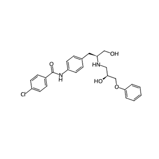 O=C(Nc1ccc(C[C@@H](CO)NC[C@H](O)COc2ccccc2)cc1)c1ccc(Cl)cc1